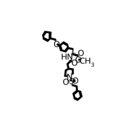 COC(=O)[C@H](Cc1ccc(OCc2ccccc2)cc1)NC(=O)CC1CCN(S(=O)(=O)CCc2ccccc2)CC1